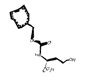 O=C(N[C@H](CCO)C(=O)O)OCc1ccccc1